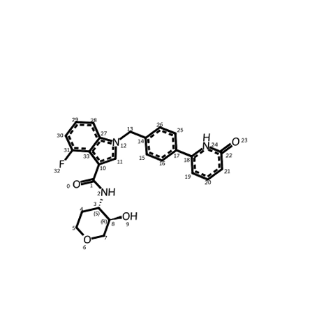 O=C(N[C@H]1CCOC[C@@H]1O)c1cn(Cc2ccc(-c3cccc(=O)[nH]3)cc2)c2cccc(F)c12